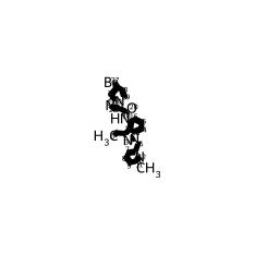 CCc1nn(Cc2cccc(C)n2)c2cccc(NC(=O)c3cnc4cc(Br)ccn34)c12